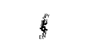 CCN(C)/C=N/c1cc(C)c(Oc2ccnc(SCC(C)C)n2)cc1C